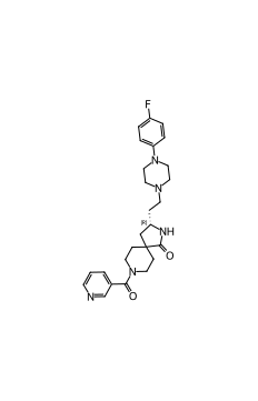 O=C(c1cccnc1)N1CCC2(CC1)C[C@H](CCN1CCN(c3ccc(F)cc3)CC1)NC2=O